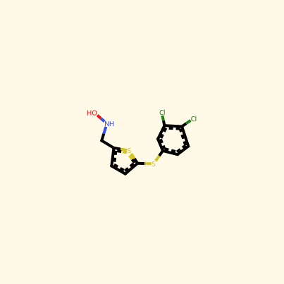 ONCc1ccc(Sc2ccc(Cl)c(Cl)c2)s1